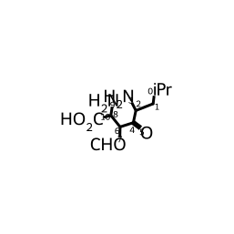 CC(C)CC(N)C(=O)C(C=O)C(N)C(=O)O